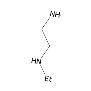 CCNCC[NH]